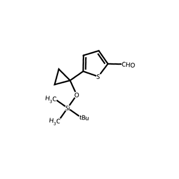 CC(C)(C)[Si](C)(C)OC1(c2ccc(C=O)s2)CC1